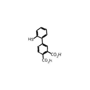 O=C(O)c1ccc(-c2ccccc2S)cc1C(=O)O